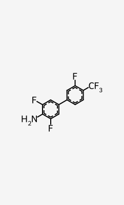 Nc1c(F)cc(-c2ccc(C(F)(F)F)c(F)c2)cc1F